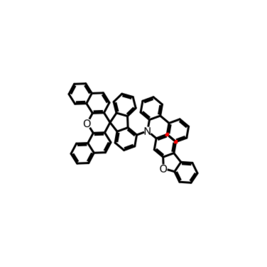 c1ccc(-c2ccccc2N(c2ccc3c(c2)oc2ccccc23)c2cccc3c2-c2ccccc2C32c3ccc4ccccc4c3Oc3c2ccc2ccccc32)cc1